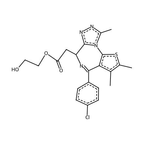 Cc1sc2c(c1C)C(c1ccc(Cl)cc1)=NC(CC(=O)OCCO)c1nnc(C)n1-2